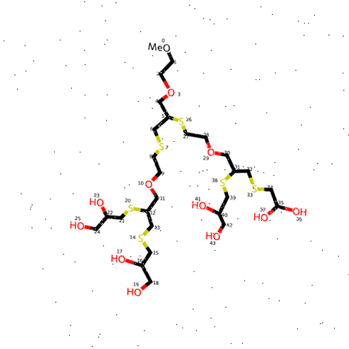 COCCOCC(CSCCOCC(CSCC(O)CO)SCC(O)CO)SCCOCC(CSCC(O)O)SCC(O)CO